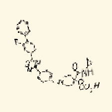 O=C(O)OC1(C(=O)NC2CC2)CCN(Cc2ccc(-c3noc(-c4ccc(-c5ccccc5)c(F)c4)n3)cc2)CC1